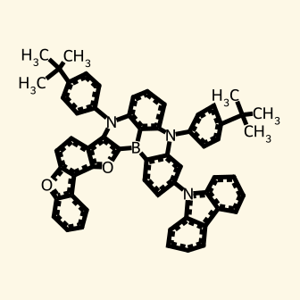 CC(C)(C)c1ccc(N2c3cc(-n4c5ccccc5c5ccccc54)ccc3B3c4oc5c(ccc6oc7ccccc7c65)c4N(c4ccc(C(C)(C)C)cc4)c4cccc2c43)cc1